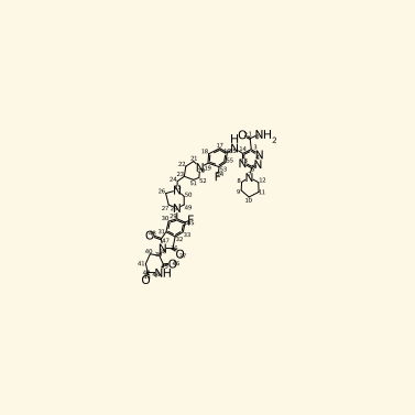 NC(=O)c1nnc(N2CCCCC2)nc1Nc1ccc(N2CCC(CN3CCN(c4cc5c(cc4F)C(=O)N(C4CCC(=O)NC4=O)C5=O)CC3)CC2)c(F)c1